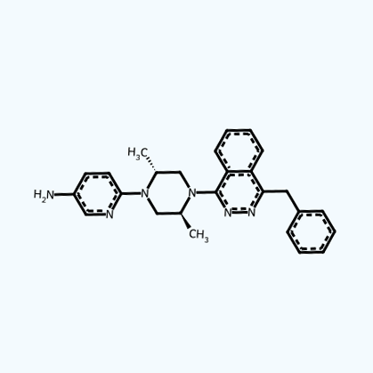 C[C@@H]1CN(c2nnc(Cc3ccccc3)c3ccccc23)[C@@H](C)CN1c1ccc(N)cn1